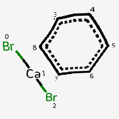 [Br][Ca][Br].[c]1ccccc1